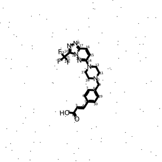 O=C(O)C=Cc1ccc(CN2CCN(c3ccc4nnc(C(F)(F)F)n4n3)CC2)cc1